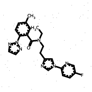 CCN(CCc1cn(-c2ccc(F)cn2)cn1)C(=O)c1cc(C)ccc1-n1nccn1